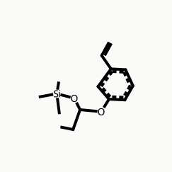 C=Cc1cccc(OC(CC)O[Si](C)(C)C)c1